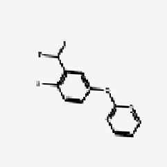 FC(F)c1cc(Oc2ccccn2)ccc1Br